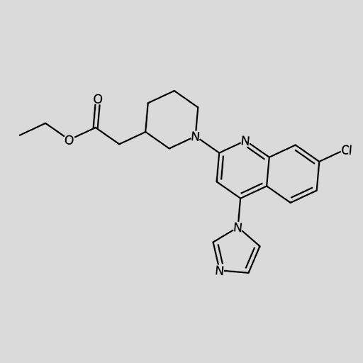 CCOC(=O)CC1CCCN(c2cc(-n3ccnc3)c3ccc(Cl)cc3n2)C1